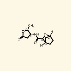 C[C@@H]1OC(=O)C[C@@H]1NC(=O)[C@H]1[Zn][C@@H]2CC[C@H]1C2